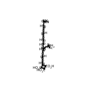 CC(=O)CN[C@@H](CCCCNC(=O)COCCOCCNC(=O)COCCOCCNC(=O)CCCC(=O)NCCCC[C@H](NC(=O)COCCOCCNC(=O)COCCOCCNC(=O)CN1CCN(CC(=O)O)CCN(CC(=O)O)CCN(CC(=O)O)CC1)C(=O)NCCCC[C@H](NCC(C)=O)C(N)=O)C(N)=O